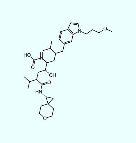 COCCCn1ccc2ccc(CC(CC(NC(=O)O)C(O)CC(C(=O)N[C@@H]3CC34CCOCC4)C(C)C)C(C)C)cc21